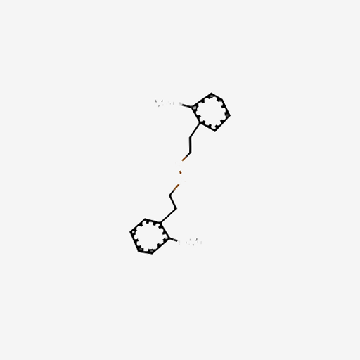 COc1ccccc1CCSSCCc1ccccc1OC